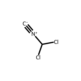 [C-]#[N+]C(Cl)Cl